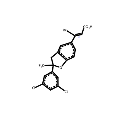 O=C(O)/C=C(\Br)c1ccc2c(c1)CC(c1cc(Cl)cc(Cl)c1)(C(F)(F)F)O2